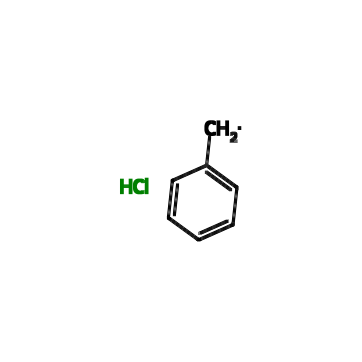 Cl.[CH2]c1ccccc1